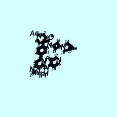 CC(=O)N1CCC2(CC1)C(=O)N([C@H]1C[C@@H](N3CC4CC4C3)C1)c1cc(-c3cc4ncn(C(C)C)c4c(Nc4ccncc4F)n3)ccc12